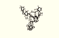 C[C@H]([C@H](CCc1ccccc1)c1ccc(Oc2ccccc2)cc1)N(CC(=O)O)C(=O)[C@@H]1COC(C(=O)O)(C(=O)O)O1